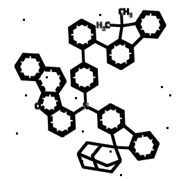 CC1(C)c2ccccc2-c2cccc(-c3ccccc3-c3ccc(N(c4ccc5c(c4)C4(c6ccccc6-5)C5CC6CC(C5)CC4C6)c4cccc5oc6c7ccccc7ccc6c45)cc3)c21